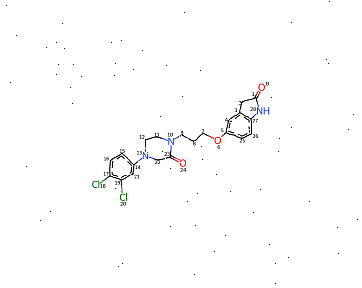 O=C1Cc2cc(OCCCN3CCN(c4ccc(Cl)c(Cl)c4)CC3=O)ccc2N1